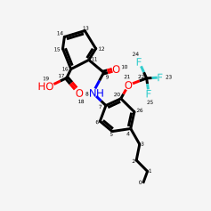 CCCCc1ccc(NC(=O)c2ccccc2C(=O)O)c(OC(F)(F)F)c1